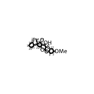 COc1cccc(Sc2c(O)c3c(=O)n(C(C)C)c(-c4ccccc4)cc3oc2=O)c1